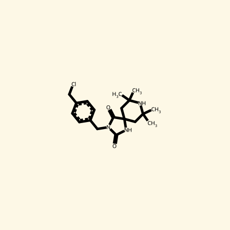 CC1(C)CC2(CC(C)(C)N1)NC(=O)N(Cc1ccc(CCl)cc1)C2=O